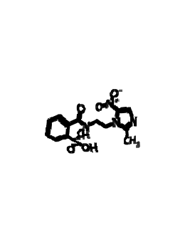 Cc1ncc([N+](=O)[O-])n1CCNC(=O)c1ccccc1S(=O)(=O)O